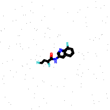 O=C(Nc1cnc2c(F)cccc2c1)C(F)CCF